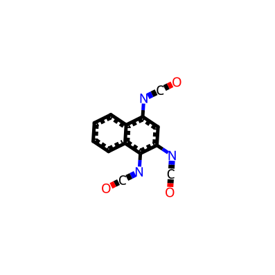 O=C=Nc1cc(N=C=O)c2ccccc2c1N=C=O